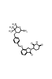 BC1CN(Cc2ccc(COc3cccc4c3CN(C3CCC(=O)NC3=O)C4=O)cc2)C(B)(B)C(B)O1